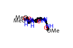 COC(=O)N[C@H](C(=O)N1CCC[C@H]1C1=NCC(c2ccc3c(c2)C(C)(C)c2ccc(C4CN=C(CCCCNC(=O)C[C@H](C)OC)N4)cc2O3)N1)[C@H](C)OC